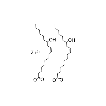 CCCCCCC(O)C/C=C\CCCCCCCC(=O)[O-].CCCCCCC(O)C/C=C\CCCCCCCC(=O)[O-].[Zn+2]